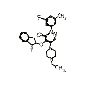 CCN1CCN(c2cnn(-c3cc(C)cc(F)c3)c(=O)c2OC2Cc3ccccc3C2F)CC1